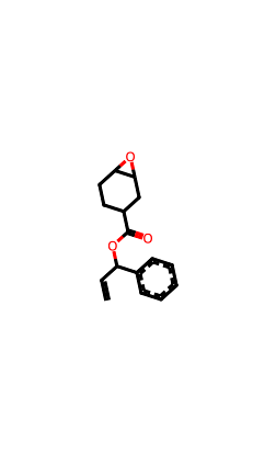 C=CC(OC(=O)C1CCC2OC2C1)c1ccccc1